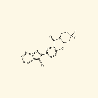 O=C(c1cc(-n2oc3ncccc3c2=O)ccc1Cl)N1CCC(F)(F)CC1